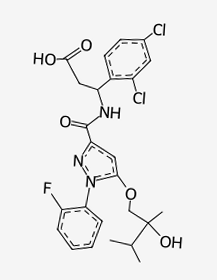 CC(C)C(C)(O)COc1cc(C(=O)NC(CC(=O)O)c2ccc(Cl)cc2Cl)nn1-c1ccccc1F